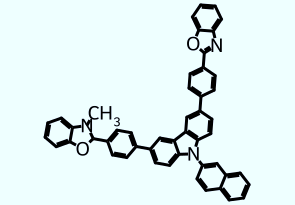 CN1c2ccccc2OC1c1ccc(-c2ccc3c(c2)c2cc(-c4ccc(-c5nc6ccccc6o5)cc4)ccc2n3-c2ccc3ccccc3c2)cc1